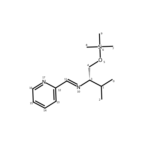 CC(C)[C@@H](CO[Si](C)(C)C)/N=C/c1ccccn1